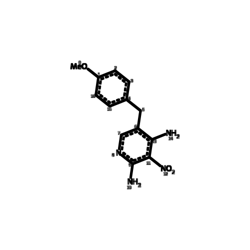 COc1ccc(Cc2cnc(N)c([N+](=O)[O-])c2N)cc1